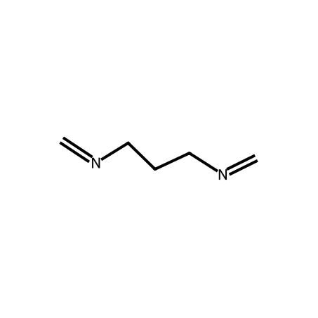 C=NCCCN=C